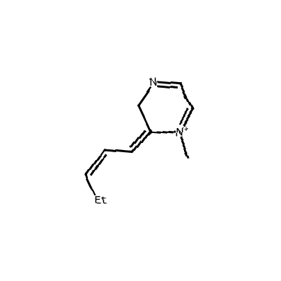 CC/C=C\C=C1/CN=CC=[N+]1C